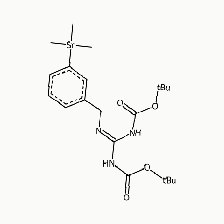 CC(C)(C)OC(=O)NC(=NCc1ccc[c]([Sn]([CH3])([CH3])[CH3])c1)NC(=O)OC(C)(C)C